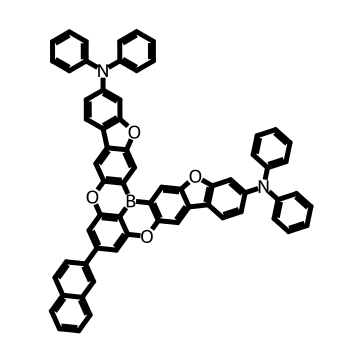 c1ccc(N(c2ccccc2)c2ccc3c(c2)oc2cc4c(cc23)Oc2cc(-c3ccc5ccccc5c3)cc3c2B4c2cc4oc5cc(N(c6ccccc6)c6ccccc6)ccc5c4cc2O3)cc1